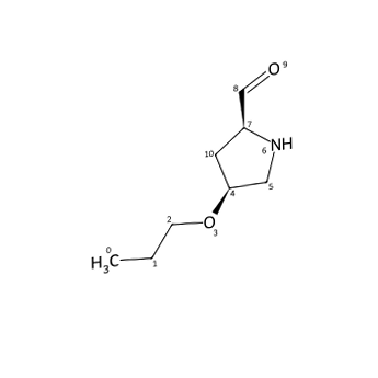 CCCO[C@@H]1CN[C@H](C=O)C1